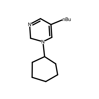 CCCCC1=CN(C2CCCCC2)CN=C1